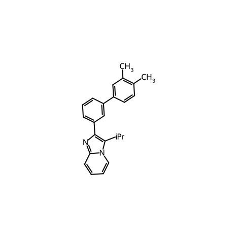 Cc1ccc(-c2cccc(-c3nc4ccccn4c3C(C)C)c2)cc1C